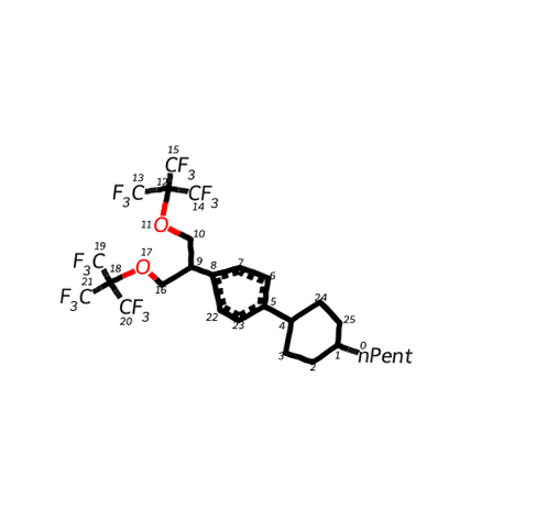 CCCCCC1CCC(c2ccc(C(COC(C(F)(F)F)(C(F)(F)F)C(F)(F)F)COC(C(F)(F)F)(C(F)(F)F)C(F)(F)F)cc2)CC1